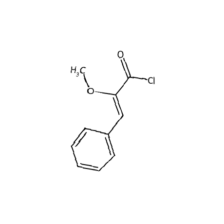 CO/C(=C\c1ccccc1)C(=O)Cl